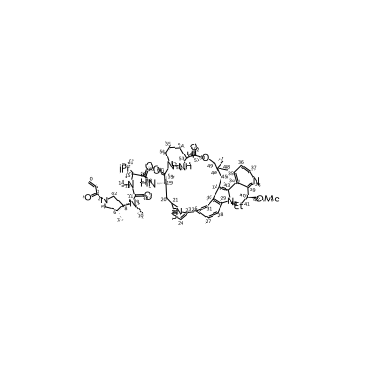 C=CC(=O)N1C[C@@H](C)[C@H](N(C)C(=O)N(C)C(C(=O)N[C@H]2Cc3nc(cs3)-c3ccc4c(c3)c(c(-c3cccnc3[C@H](C)OC)n4CC)CC(C)(C)COC(=O)[C@@H]3CCCN(N3)C2=O)C(C)C)C1